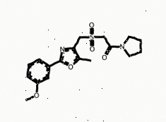 COc1cccc(-c2nc(CS(=O)(=O)CC(=O)N3CCCC3)c(C)o2)c1